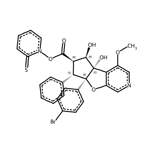 COc1cncc2c1[C@]1(O)[C@H](O)[C@H](C(=O)On3ccccc3=S)[C@@H](c3ccccc3)[C@]1(c1ccc(Br)cc1)O2